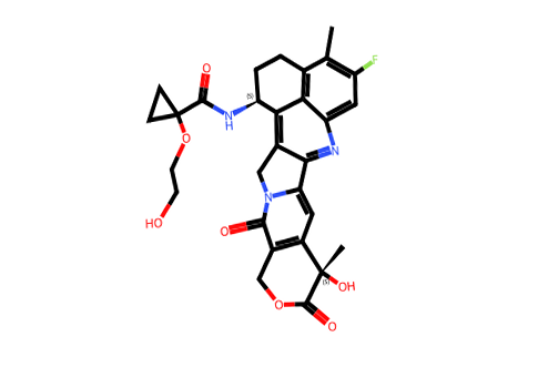 Cc1c(F)cc2nc3c(c4c2c1CC[C@@H]4NC(=O)C1(OCCO)CC1)Cn1c-3cc2c(c1=O)COC(=O)[C@@]2(C)O